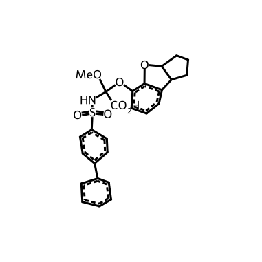 COC(NS(=O)(=O)c1ccc(-c2ccccc2)cc1)(Oc1cccc2c1OC1CCCC21)C(=O)O